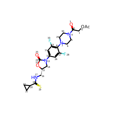 CC(=O)OCC(=O)N1CCN(c2c(F)cc(N3C[C@H](CNC(=S)C4CC4)OC3=O)cc2F)CC1